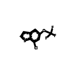 FC(F)(F)Oc1cc(Cl)c2s[c]cc2c1